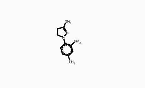 Cc1ccc(N2CCC(N)=N2)c(N)c1